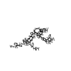 CC(C)CC(=O)SCCOP(=O)(OCCSC(=O)CC(C)C)C(F)(F)c1ccc2ccc(C(=O)N[C@H]3CCCCC[C@H]4[C@H](O)C[C@@H](C(=O)N5C[C@H](c6cc[nH]c(=O)c6)[C@@H](C#N)C5)N4C3=O)cc2c1